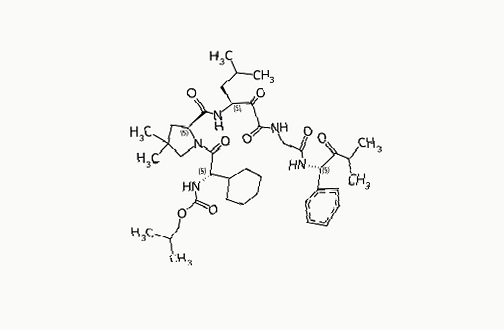 CC(C)COC(=O)N[C@H](C(=O)N1CC(C)(C)C[C@H]1C(=O)N[C@@H](CC(C)C)C(=O)C(=O)NCC(=O)N[C@H](C(=O)C(C)C)c1ccccc1)C1CCCCC1